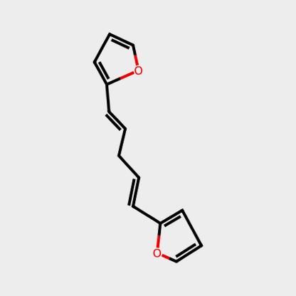 C(=Cc1ccco1)CC=Cc1ccco1